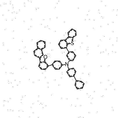 c1ccc(-c2ccc(N(c3ccc(-c4cccc5c4oc4c6ccccc6ccc54)cc3)c3cccc(-c4cccc5c4sc4ccccc45)c3)cc2)cc1